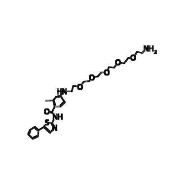 Cc1cc(NCCOCCOCCOCCOCCOCCN)ccc1C(=O)Nc1ncc(-c2ccccc2)s1